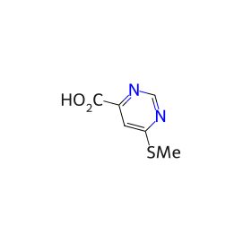 CSc1cc(C(=O)O)ncn1